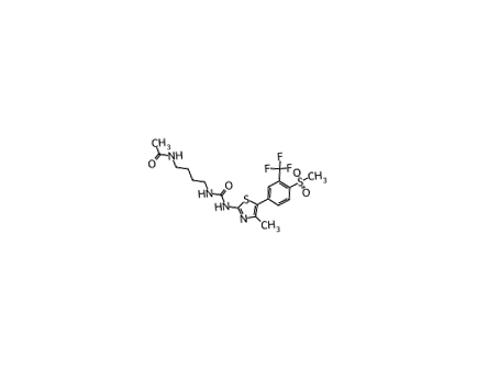 CC(=O)NCCCCNC(=O)Nc1nc(C)c(-c2ccc(S(C)(=O)=O)c(C(F)(F)F)c2)s1